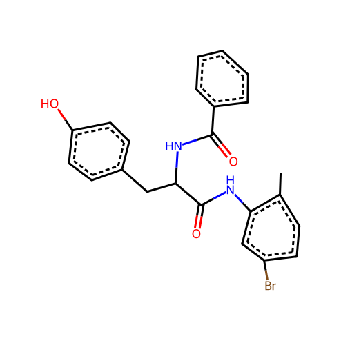 Cc1ccc(Br)cc1NC(=O)C(Cc1ccc(O)cc1)NC(=O)c1ccccc1